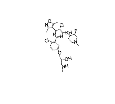 CNC[C@@H](O)COc1ccc(Cl)c(-c2nc(N[C@@H]3CCN(C)C[C@@H]3F)c(Cl)c(-c3c(C)noc3C)n2)c1